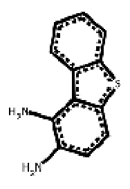 Nc1ccc2sc3ccccc3c2c1N